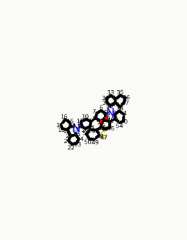 c1ccc(N(c2ccc(-c3ccc(-n4c5ccccc5c5ccccc54)cc3)cc2)c2cccc3ccccc23)c(-c2ccc3c(c2)sc2ccccc23)c1